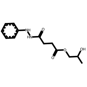 CC(O)COC(=O)CCC(=O)NNc1ccccc1